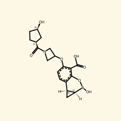 O=C(O)c1c(OC2CN(C(=O)[C@H]3CC[C@@H](O)C3)C2)ccc2c1OB(O)[C@H]1C[C@@H]21